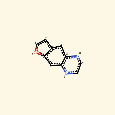 c1cnc2cc3occc3cc2n1